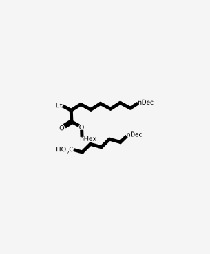 CCCCCCCCCCCCCCCC(=O)O.CCCCCCCCCCCCCCCCC(CC)C(=O)OCCCCCC